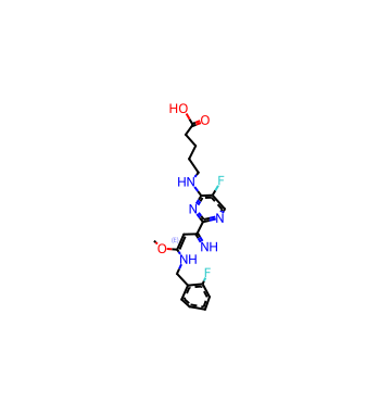 CO/C(=C/C(=N)c1ncc(F)c(NCCCCC(=O)O)n1)NCc1ccccc1F